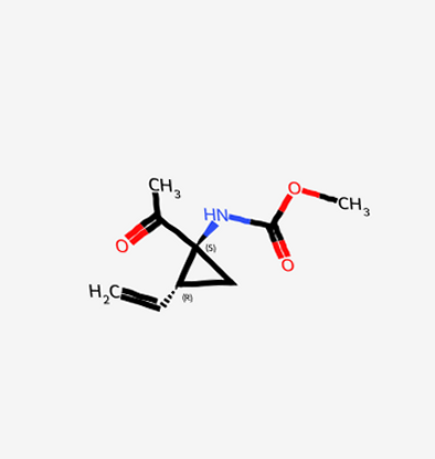 C=C[C@H]1C[C@@]1(NC(=O)OC)C(C)=O